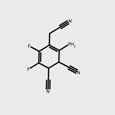 N#CCC1=C(P)C(C#N)C(C#N)C(F)=C1F